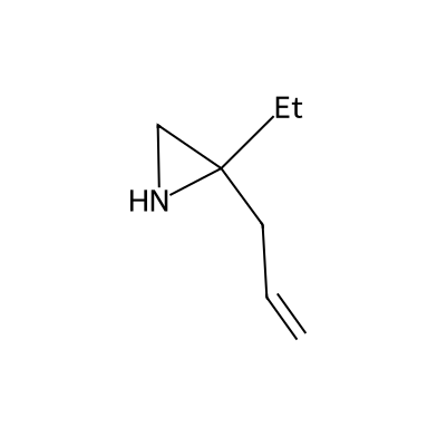 C=CCC1(CC)CN1